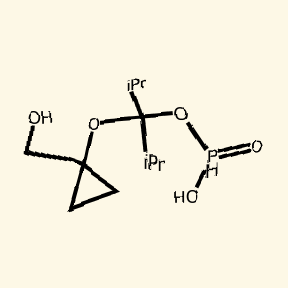 CC(C)C(O[PH](=O)O)(OC1(CO)CC1)C(C)C